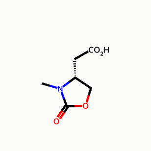 CN1C(=O)OC[C@H]1CC(=O)O